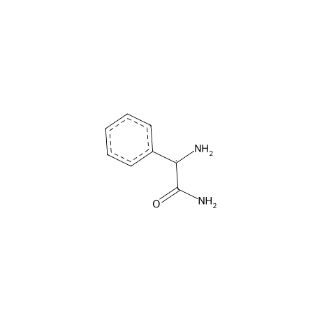 N[C](C(N)=O)c1ccccc1